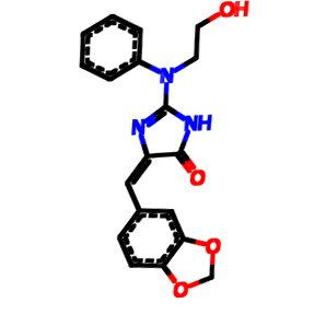 O=C1NC(N(CCO)c2ccccc2)=NC1=Cc1ccc2c(c1)OCO2